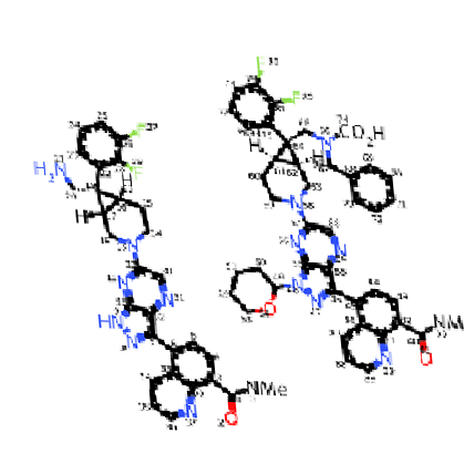 CNC(=O)c1ccc(-c2n[nH]c3nc(N4CC[C@@H]5[C@H](C4)[C@@]5(CN)c4cccc(F)c4F)cnc23)c2cccnc12.CNC(=O)c1ccc(-c2nn(C3CCCCO3)c3nc(N4CC[C@@H]5[C@H](C4)[C@@]5(CN(Cc4ccccc4)C(=O)O)c4cccc(F)c4F)cnc23)c2cccnc12